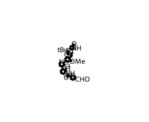 COc1cc(-c2nccc(-c3cccc(NC(=O)c4ccc(C=O)cn4)c3Cl)c2Cl)ccc1CN(C[C@@H]1CCC(=O)N1)C(=O)OC(C)(C)C